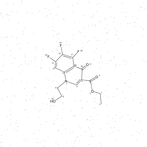 CCOC(=O)c1cn(CCO)c2cc(F)c(F)c(F)c2c1=O